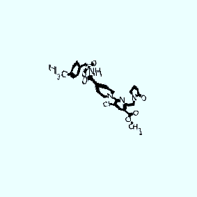 CCOC(=O)c1cc(Cl)c(N2CCC(C(=O)NS(=O)(=O)Cc3ccc(C)cc3)CC2)nc1CN1CCCC1=O